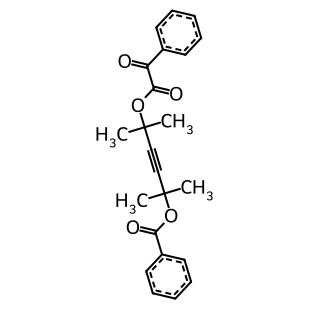 CC(C)(C#CC(C)(C)OC(=O)c1ccccc1)OC(=O)C(=O)c1ccccc1